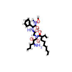 CCCCCCCC(CC)C(=O)N(CC(=O)NC(C(=O)N(C)OC)c1ccccc1)C(=O)C(=O)C(N)CCC